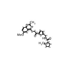 COc1ccc2nc(C)nc(SCC(=O)c3ccc(CNC(=O)[C@H]4CCCN4C)s3)c2c1